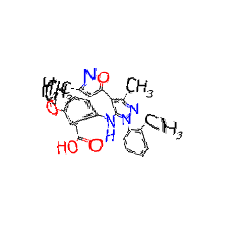 COc1ccc(Nc2c(-c3cc(C)no3)c(C)nn2-c2ccccc2C)c(C(=O)O)c1